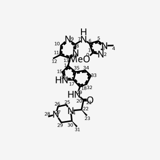 COc1nn(C)cc1Nc1ncc(C)c(-c2c[nH]c3c(NC(=O)[C@@H](C)N4CCN(C)C[C@@H]4C)cccc23)n1